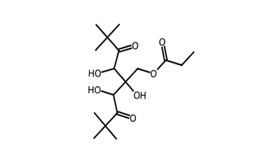 CCC(=O)OCC(O)(C(O)C(=O)C(C)(C)C)C(O)C(=O)C(C)(C)C